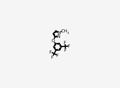 Cn1[c]cc(Oc2cc(C(F)(F)F)cc(C(F)(F)F)c2)n1